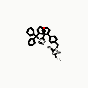 CC1NN(Cc2ccc(-c3ccccc3-c3nnnn3C(c3ccccc3)(c3ccccc3)c3ccccc3)cc2)C(=N)S1